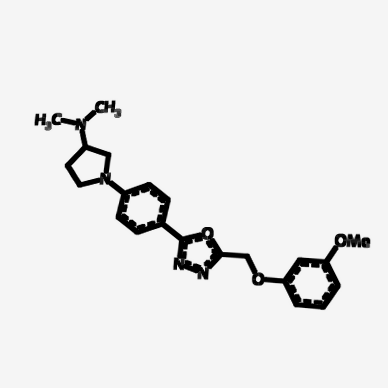 COc1cccc(OCc2nnc(-c3ccc(N4CCC(N(C)C)C4)cc3)o2)c1